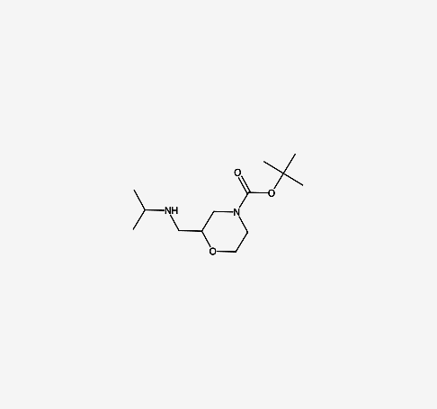 CC(C)NCC1CN(C(=O)OC(C)(C)C)CCO1